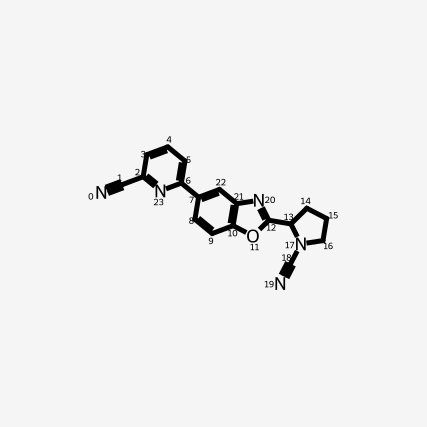 N#Cc1cccc(-c2ccc3oc(C4CCCN4C#N)nc3c2)n1